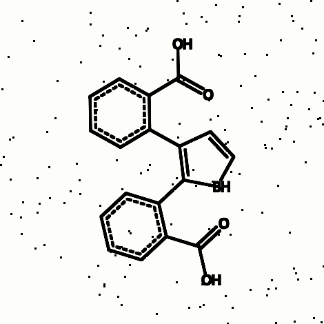 O=C(O)c1ccccc1C1=C(c2ccccc2C(=O)O)C=CB1